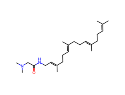 CC(C)=CCCC(C)=CCCC(C)=CCCC(C)=CCNC(=O)CN(C)C